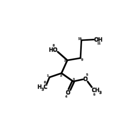 CCC(C(=O)OC)C(O)CCO